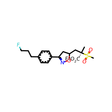 CCOC(=O)[C@@](C)(CC1CC(c2ccc(CCCF)cc2)=NO1)S(C)(=O)=O